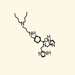 CCCCN(CCCC)CCCNCc1ccc(C(=O)N(Cc2ncc[nH]2)Cc2ncc[nH]2)cc1